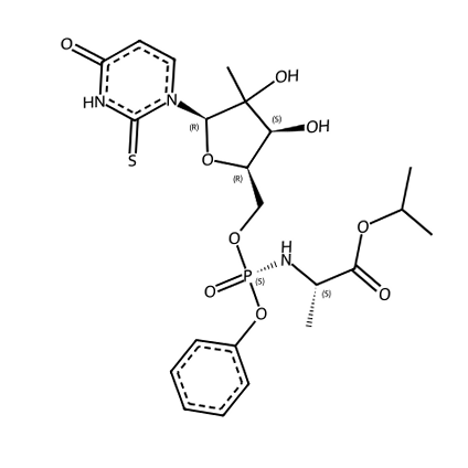 CC(C)OC(=O)[C@H](C)N[P@](=O)(OC[C@H]1O[C@@H](n2ccc(=O)[nH]c2=S)C(C)(O)[C@H]1O)Oc1ccccc1